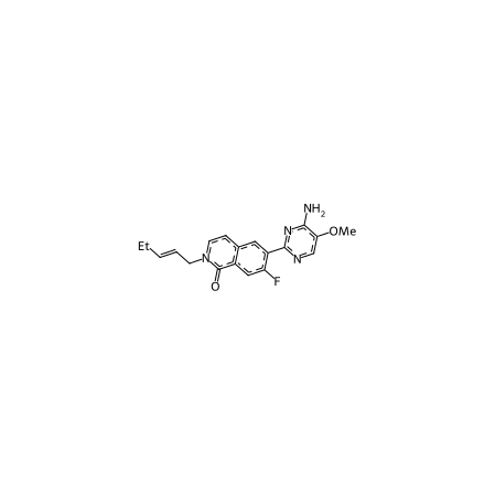 CC/C=C/Cn1ccc2cc(-c3ncc(OC)c(N)n3)c(F)cc2c1=O